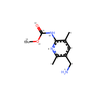 Cc1cc(CN)c(C)nc1NC(=O)OC(C)(C)C